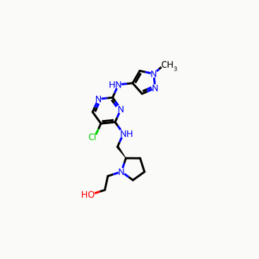 Cn1cc(Nc2ncc(Cl)c(NC[C@H]3CCCN3CCO)n2)cn1